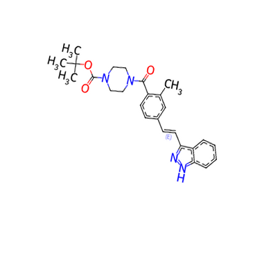 Cc1cc(/C=C/c2n[nH]c3ccccc23)ccc1C(=O)N1CCN(C(=O)OC(C)(C)C)CC1